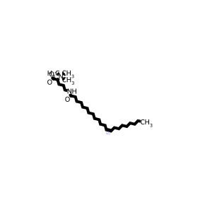 CCCCCCCC/C=C\CCCCCCCCCCCC(=O)NCCCC(C(=O)[O-])[N+](C)(C)C